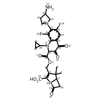 CC1(C)C(COC(=O)C2C(=O)C(=O)c3cc(F)c(N4CCC(N)C4)c(F)c3N2C2CC2)=C(C(=O)O)N2C(=O)CC21